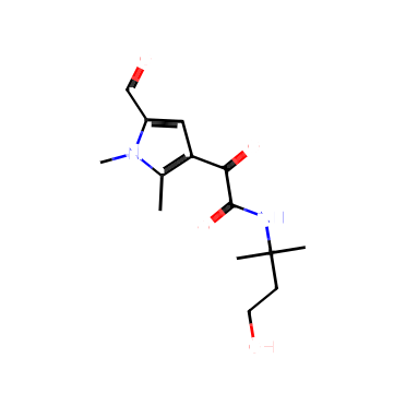 Cc1c(C(=O)C(=O)NC(C)(C)CCO)cc(C=O)n1C